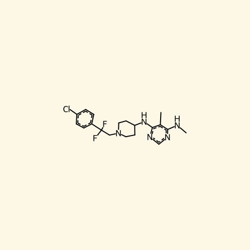 CNc1ncnc(NC2CCN(CC(F)(F)c3ccc(Cl)cc3)CC2)c1C